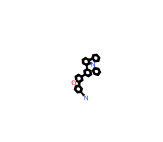 N#Cc1ccc2oc3ccc(-c4cccc(-c5cccc6c7ccccc7n(-c7ccccc7)c56)c4)cc3c2c1